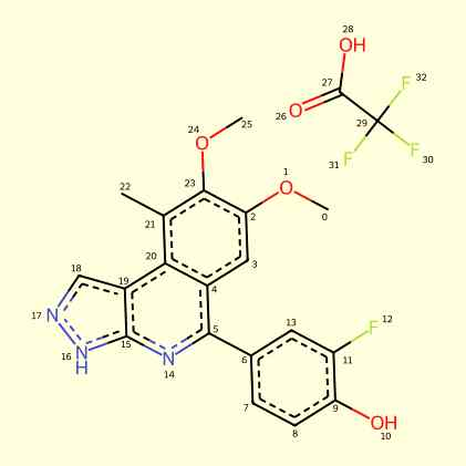 COc1cc2c(-c3ccc(O)c(F)c3)nc3[nH]ncc3c2c(C)c1OC.O=C(O)C(F)(F)F